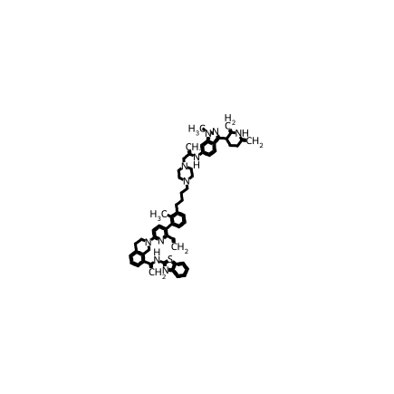 C=Cc1nc(N2CCc3cccc(C(=C)Nc4nc5ccccc5s4)c3C2)ccc1-c1cccc(CCCCN2CCN(CC(=C)Nc3ccc4c(C5CCC(=C)NC5=C)nn(C)c4c3)CC2)c1C